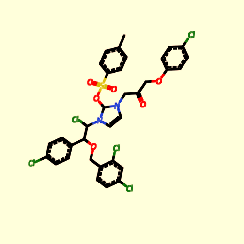 Cc1ccc(S(=O)(=O)OC2N(CC(=O)COc3ccc(Cl)cc3)C=CN2C(Cl)C(OCc2ccc(Cl)cc2Cl)c2ccc(Cl)cc2)cc1